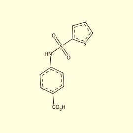 O=C(O)c1ccc(NS(=O)(=O)c2cccs2)cc1